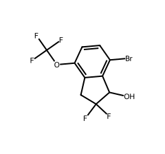 OC1c2c(Br)ccc(OC(F)(F)F)c2CC1(F)F